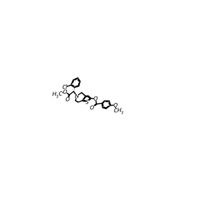 COC(=O)[C@H](c1ccccc1Cl)N1CCc2sc(OC(=O)c3ccc(OC)cc3)cc2C1